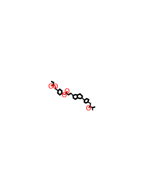 C=CC(=O)OCc1ccc(OC(=O)/C=C/c2ccc3cc(-c4ccc(CC(=O)C(=C)C)cc4)ccc3c2)cc1